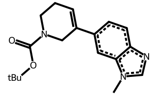 Cn1cnc2ccc(C3=CCCN(C(=O)OC(C)(C)C)C3)cc21